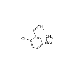 C=Cc1ccccc1Cl.CCCCC